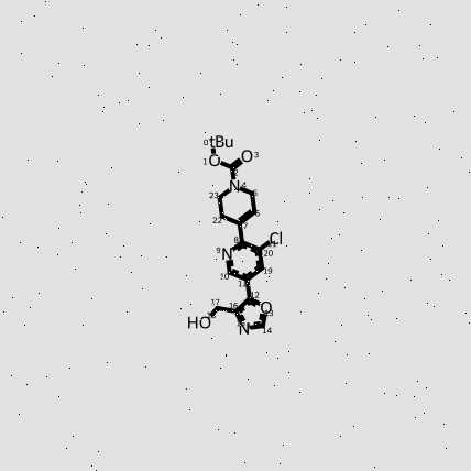 CC(C)(C)OC(=O)N1CC=C(c2ncc(-c3ocnc3CO)cc2Cl)CC1